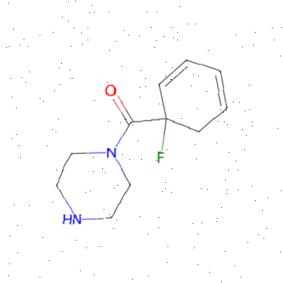 O=C(N1CCNCC1)C1(F)C=CC=CC1